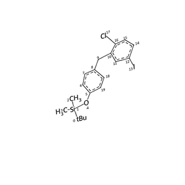 CC(C)(C)[Si](C)(C)Oc1ccc(Cc2cc(I)ccc2Cl)cc1